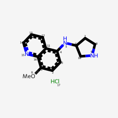 COc1ccc(NC2CCNC2)c2cccnc12.Cl